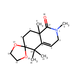 CN1CC=C2C(C)(CCC3(OCCO3)C2(C)C)C1=O